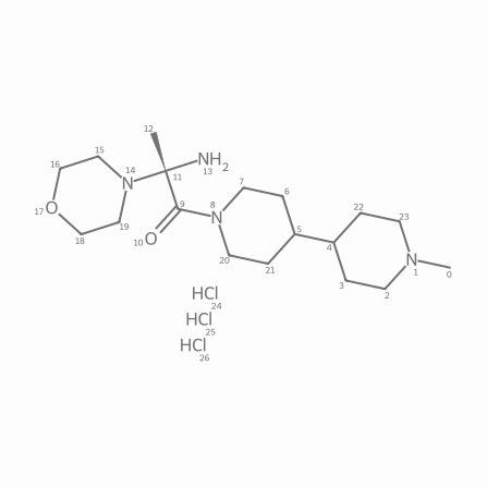 CN1CCC(C2CCN(C(=O)[C@@](C)(N)N3CCOCC3)CC2)CC1.Cl.Cl.Cl